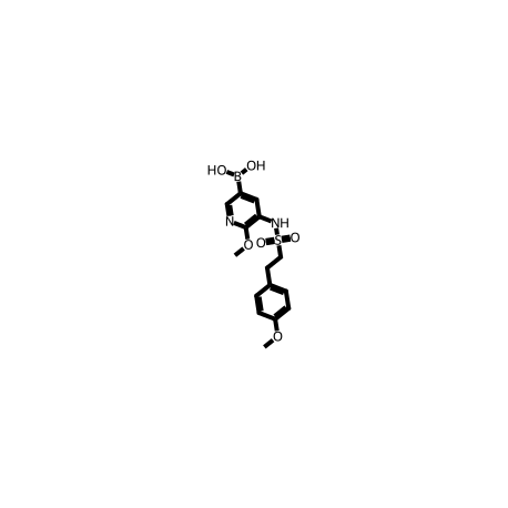 COc1ccc(CCS(=O)(=O)Nc2cc(B(O)O)cnc2OC)cc1